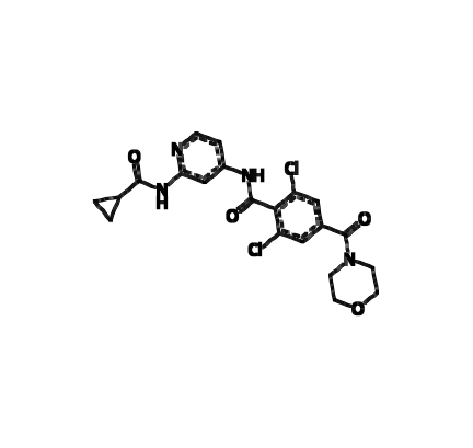 O=C(Nc1ccnc(NC(=O)C2CC2)c1)c1c(Cl)cc(C(=O)N2CCOCC2)cc1Cl